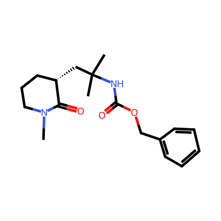 CN1CCC[C@H](CC(C)(C)NC(=O)OCc2ccccc2)C1=O